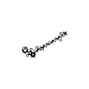 CC(C)(C)OC(=O)NCCCOCCOCCOCCCNC(=O)COc1cccc2c1C(=O)N(C1CCCOOC1)C2=O